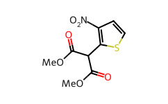 COC(=O)C(C(=O)OC)c1sccc1[N+](=O)[O-]